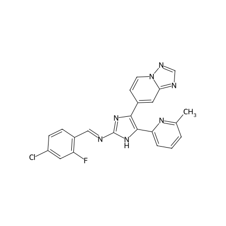 Cc1cccc(-c2[nH]c(N=Cc3ccc(Cl)cc3F)nc2-c2ccn3ncnc3c2)n1